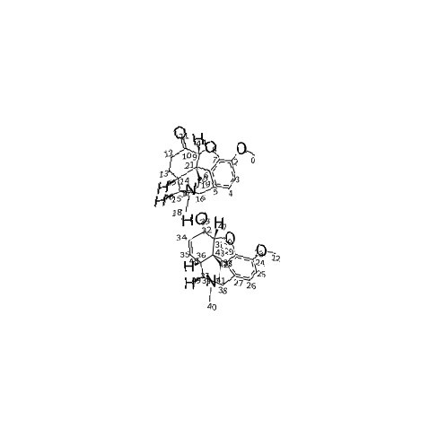 COc1ccc2c3c1O[C@H]1C(=O)CC[C@H]4[C@@H](C2)N(C)CC[C@]314.COc1ccc2c3c1O[C@H]1[C@@H](O)C=C[C@H]4[C@@H](C2)N(C)CC[C@@]341